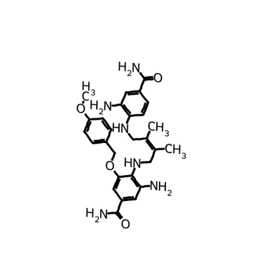 COc1ccc(COc2cc(C(N)=O)cc(N)c2NCC(C)=C(C)CNc2ccc(C(N)=O)cc2N)cc1